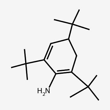 CC(C)(C)C1=CC(C(C)(C)C)CC(C(C)(C)C)=C1N